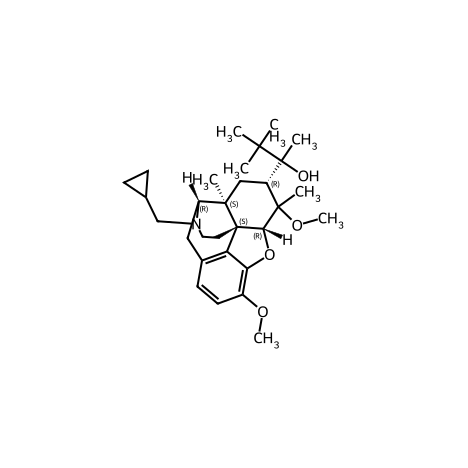 COc1ccc2c3c1O[C@H]1C(C)(OC)[C@@H](C(C)(O)C(C)(C)C)C[C@]4(C)[C@@H](C2)N(CC2CC2)CC[C@]314